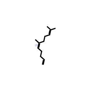 C=CCC/C=C(/C)CCC=C(C)C